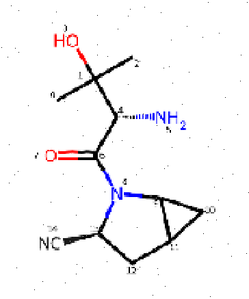 CC(C)(O)[C@H](N)C(=O)N1C2CC2C[C@H]1C#N